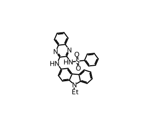 CCn1c2ccccc2c2cc(Nc3nc4ccccc4nc3NS(=O)(=O)c3ccccc3)ccc21